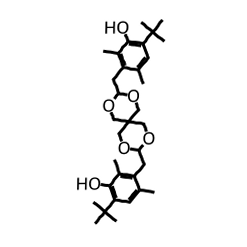 Cc1cc(C(C)(C)C)c(O)c(C)c1CC1OCC2(CO1)COC(Cc1c(C)cc(C(C)(C)C)c(O)c1C)OC2